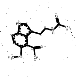 COc1ccc2[nH]cc(CCNC(C)=O)c2c1C(C)=O